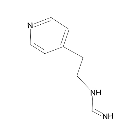 N=CNCCc1ccncc1